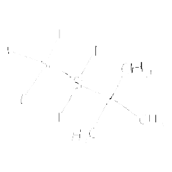 CC(C)(C)[Si](I)(I)[Si](I)(I)I